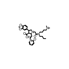 CCCCN(CCCCN(C)C)C(=O)CN1CC(c2ccc3c(c2)OCO3)C(C(=O)O)C1CCn1ccccc1=O